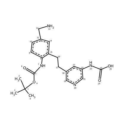 CC(C)(C)OC(=O)Nc1ccc(CN)cc1CCc1cncc(NC(=O)O)c1